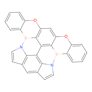 c1ccc2c(c1)Oc1cc3c4c5c1B2n1ccc2cc6ccn(c6c-5c21)B4c1ccccc1O3